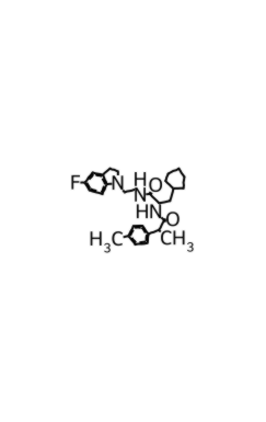 Cc1ccc(C(C)C(=O)NC(CC2CCCCC2)C(=O)NCCN2CCc3cc(F)ccc32)cc1